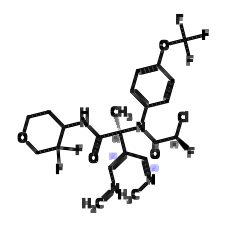 C=N/C=C(\C=N/C)[C@@](C)(C(=O)NC1CCOCC1(F)F)N(C(=O)[C@H](F)Cl)c1ccc(OC(F)(F)F)cc1